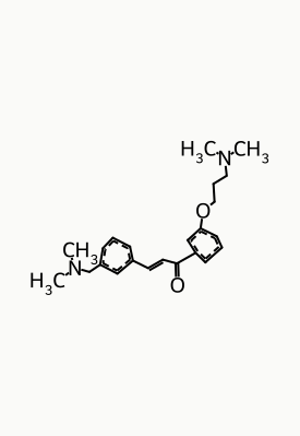 CN(C)CCCOc1cccc(C(=O)C=Cc2cccc(CN(C)C)c2)c1